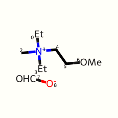 CC[N+](C)(CC)CCOC.O=C[O-]